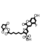 O=C(CCCCCc1sc(-c2cc3c(F)cc(O)cc3oc2=O)cc1S(=O)(=O)O)ON1C(=O)CCC1=O